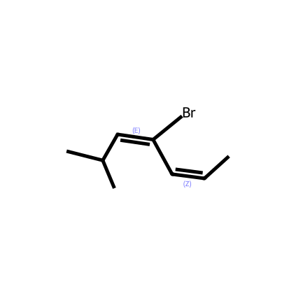 C/C=C\C(Br)=C/C(C)C